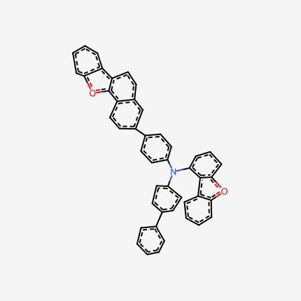 c1ccc(-c2ccc(N(c3ccc(-c4ccc5c(ccc6c7ccccc7oc56)c4)cc3)c3cccc4oc5ccccc5c34)cc2)cc1